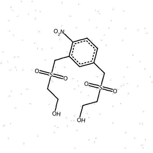 O=[N+]([O-])c1ccc(CS(=O)(=O)CCO)cc1CS(=O)(=O)CCO